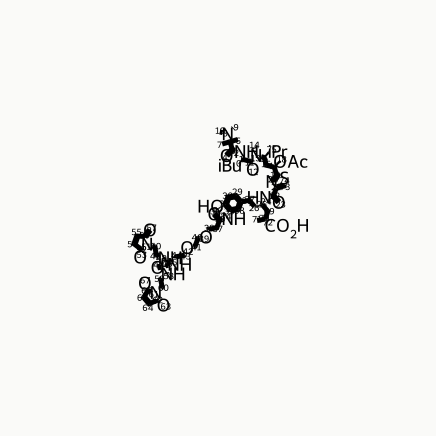 CC[C@H](C)[C@H](NC(=O)C(C)(C)N(C)C)C(=O)N(C)[C@H](C[C@@H](OC(C)=O)c1nc(C(=O)N[C@@H](CCc2ccc(O)c(NC(=O)CCOCCOCCNP(=O)(NCCN3C(=O)C=CC3=O)NCCN3C(=O)C=CC3=O)c2)CC(C)C(=O)O)cs1)C(C)C